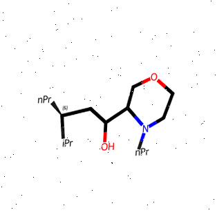 CCC[C@@H](CC(O)C1COCCN1CCC)C(C)C